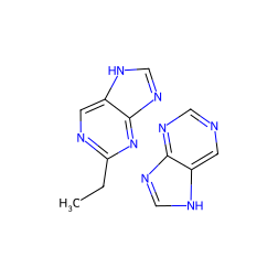 CCc1ncc2[nH]cnc2n1.c1ncc2[nH]cnc2n1